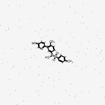 Cc1ccc(S(=O)(=O)N(C)c2ccc(C)c(-c3ccc(C#N)cn3)c2)cc1